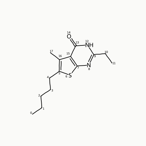 CCCCCc1sc2nc(CC)[nH]c(=O)c2c1C